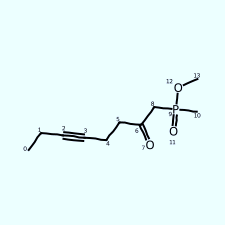 CCC#CCCC(=O)CP(C)(=O)OC